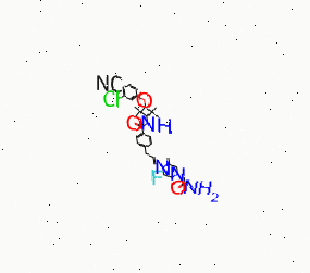 CC1CN(CC(N)=O)CC(F)N1CCCc1ccc(C(=O)NC2C(C)(C)C(Oc3ccc(C#N)c(Cl)c3)C2(C)C)cc1